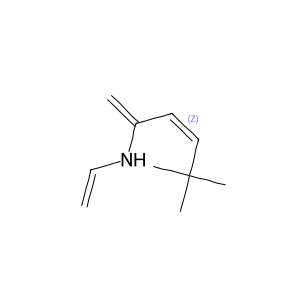 C=CNC(=C)/C=C\C(C)(C)C